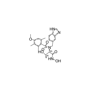 COc1cc(C)c(S(=O)(=O)N(Cc2ccc3[nH]cnc3c2)[C@@H](C(=O)NO)[C@@H](C)O)c(C)c1C